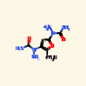 NC(=O)N(N)c1cc(N(N)C(N)=O)c(C(=O)O)o1